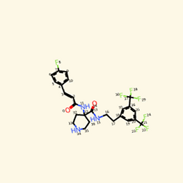 O=C(/C=C/c1ccc(F)cc1)NC1(C(=O)NCCc2cc(C(F)(F)F)cc(C(F)(F)F)c2)CCNCC1